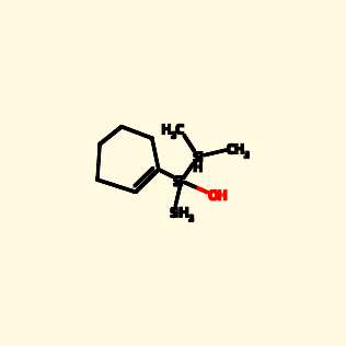 C[SiH](C)[Si](O)([SiH3])C1=CCCCC1